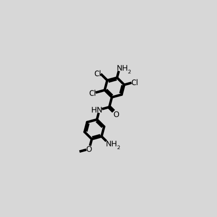 COc1ccc(NC(=O)c2cc(Cl)c(N)c(Cl)c2Cl)cc1N